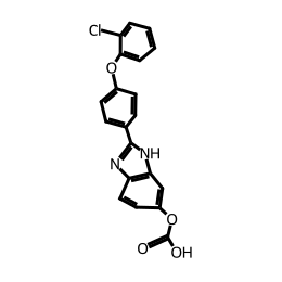 O=C(O)Oc1ccc2nc(-c3ccc(Oc4ccccc4Cl)cc3)[nH]c2c1